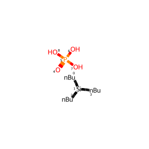 CCCC[Si](CCCC)CCCC.O=P(O)(O)O